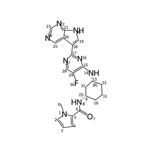 Cn1cccc1C(=O)N[C@H]1CCC[C@@H](Nc2nc(-c3c[nH]c4ncncc34)ncc2F)C1